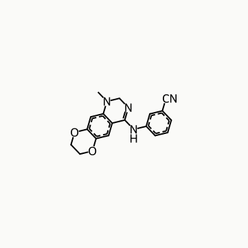 CN1CN=C(Nc2cccc(C#N)c2)c2cc3c(cc21)OCCO3